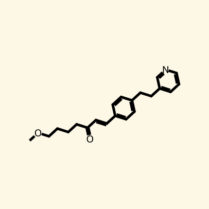 COCCCCC(=O)C=Cc1ccc(CCc2cccnc2)cc1